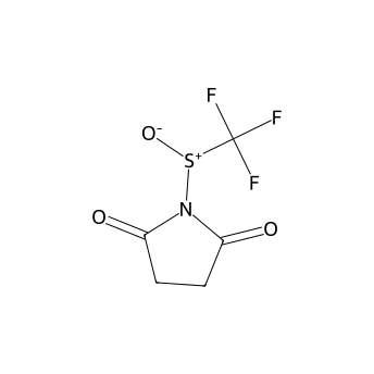 O=C1CCC(=O)N1[S+]([O-])C(F)(F)F